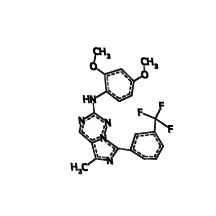 COc1ccc(Nc2ncc3c(C)nc(-c4cccc(C(F)(F)F)c4)n3n2)c(OC)c1